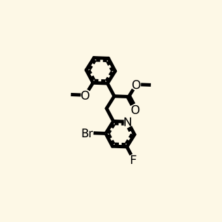 COC(=O)C(Cc1ncc(F)cc1Br)c1ccccc1OC